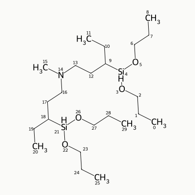 CCCO[SiH](OCCC)C(CC)CCN(C)CCC(CC)[SiH](OCCC)OCCC